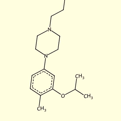 CCCN1CCN(c2ccc(C)c(OC(C)C)c2)CC1